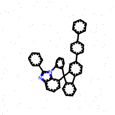 c1ccc(-c2ccc(-c3ccc4c(c3)C3(c5ccccc5-4)c4ccccc4-n4c(-c5ccccc5)nc5cccc3c54)cc2)cc1